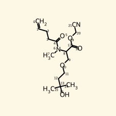 C=CCCC(=O)N(C)C(COCCC(C)(C)O)C(=O)OCC#N